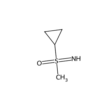 CS(=N)(=O)C1CC1